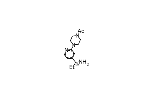 CC[C@H](N)c1ccnc(N2CCN(C(C)=O)CC2)c1